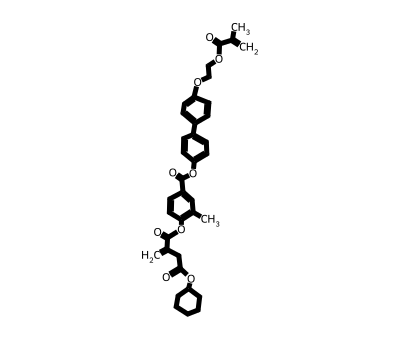 C=C(C)C(=O)OCCOc1ccc(-c2ccc(OC(=O)c3ccc(OC(=O)C(=C)CC(=O)OC4CCCCC4)c(C)c3)cc2)cc1